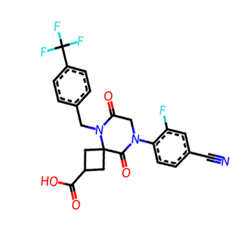 N#Cc1ccc(N2CC(=O)N(Cc3ccc(C(F)(F)F)cc3)C3(CC(C(=O)O)C3)C2=O)c(F)c1